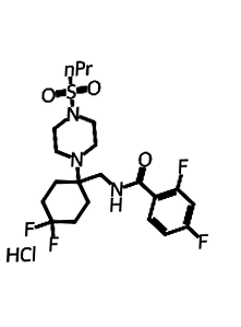 CCCS(=O)(=O)N1CCN(C2(CNC(=O)c3ccc(F)cc3F)CCC(F)(F)CC2)CC1.Cl